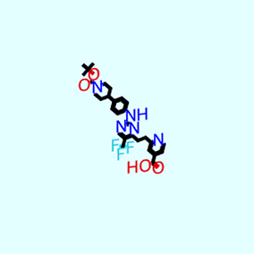 CC(C)(C)OC(=O)N1CCC(c2ccc(Nc3ncc(C(F)(F)F)c(CCc4cc(C(=O)O)ccn4)n3)cc2)CC1